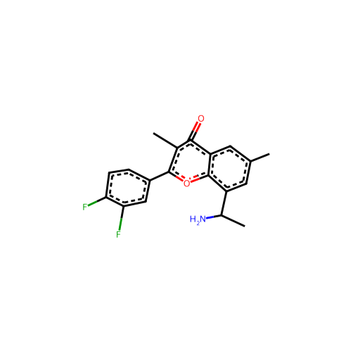 Cc1cc(C(C)N)c2oc(-c3ccc(F)c(F)c3)c(C)c(=O)c2c1